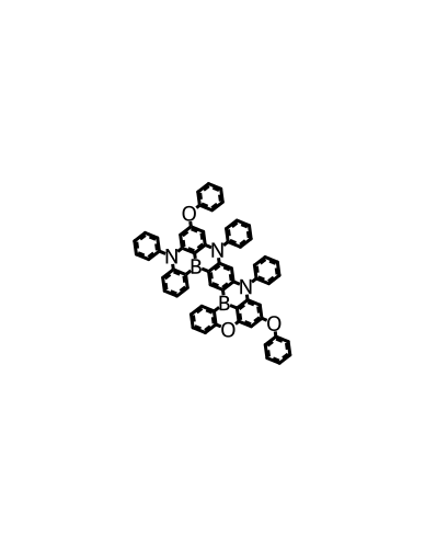 c1ccc(Oc2cc3c4c(c2)N(c2ccccc2)c2cc5c(cc2B4c2ccccc2O3)B2c3ccccc3N(c3ccccc3)c3cc(Oc4ccccc4)cc(c32)N5c2ccccc2)cc1